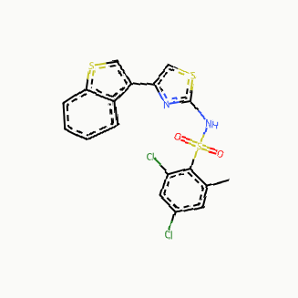 Cc1cc(Cl)cc(Cl)c1S(=O)(=O)Nc1nc(-c2csc3ccccc23)cs1